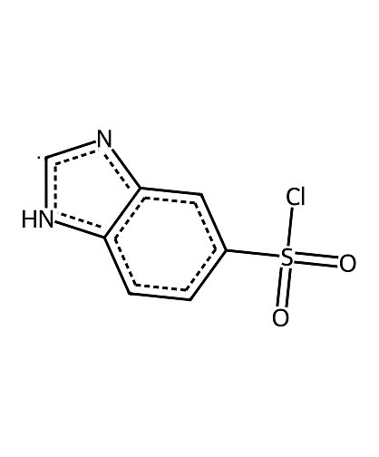 O=S(=O)(Cl)c1ccc2[nH][c]nc2c1